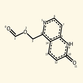 O=COCc1nccc2[nH]c(=O)ccc12